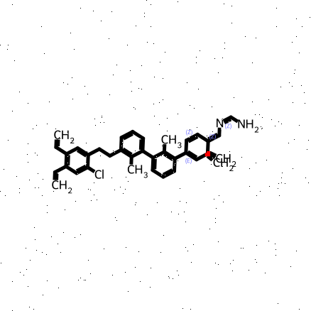 C=C\C=C(/C=C\C(C=C)=C/N=C\N)c1cccc(-c2cccc(CCc3cc(C=C)c(C=C)cc3Cl)c2C)c1C